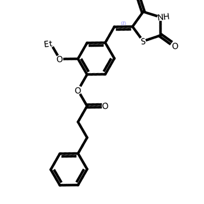 CCOc1cc(/C=C2\SC(=O)NC2=O)ccc1OC(=O)CCc1ccccc1